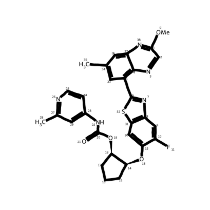 COc1cnc2c(-c3nc4cc(F)c(O[C@H]5CCC[C@H]5OC(=O)Nc5ccnc(C)c5)cc4s3)cc(C)cc2n1